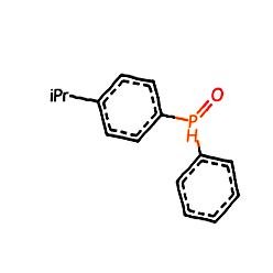 CC(C)c1ccc([PH](=O)c2ccccc2)cc1